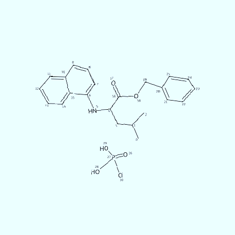 CC(C)CC(Nc1cccc2ccccc12)C(=O)OCc1ccccc1.O=P(O)(O)Cl